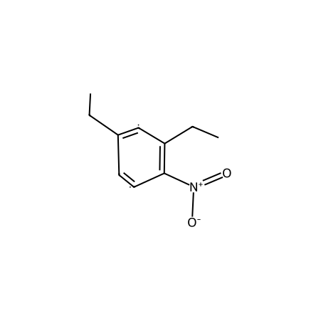 CCc1[c]c(CC)c([N+](=O)[O-])[c]c1